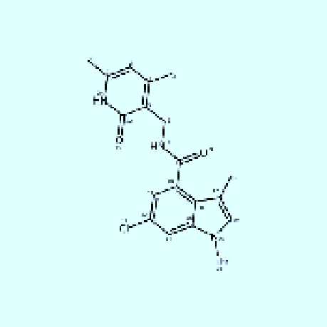 Cc1cc(C)c(CNC(=O)c2cc(Cl)cc3c2c(C)cn3C(C)C)c(=O)[nH]1